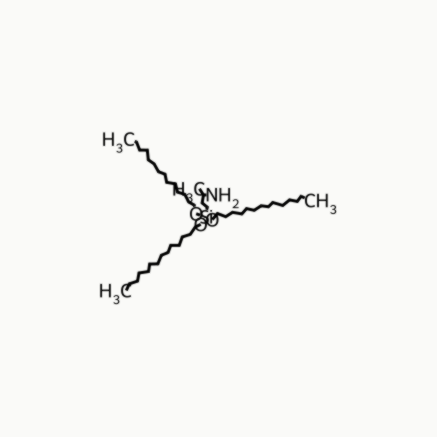 CCCCCCCCCCCCCCO[Si](CCC(C)N)(OCCCCCCCCCCCCCC)OCCCCCCCCCCCCCC